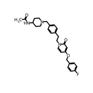 CC(=O)NC1CCN(Cc2ccc(CCn3ccc(OCc4ccc(F)cc4)cc3=O)cc2)CC1